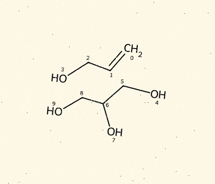 C=CCO.OCC(O)CO